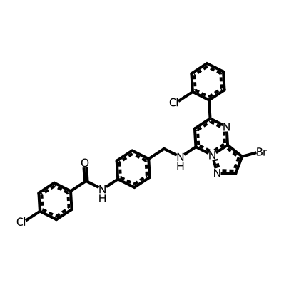 O=C(Nc1ccc(CNc2cc(-c3ccccc3Cl)nc3c(Br)cnn23)cc1)c1ccc(Cl)cc1